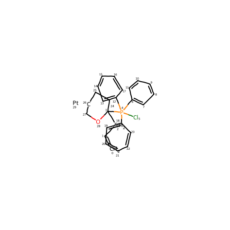 C=C[SiH2]C1(P(Cl)(c2ccccc2)(c2ccccc2)c2ccccc2)CCCCO1.[Pt]